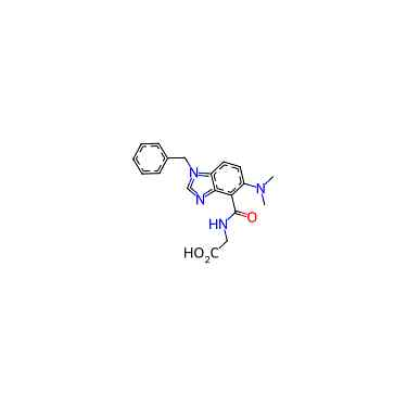 CN(C)c1ccc2c(ncn2Cc2ccccc2)c1C(=O)NCC(=O)O